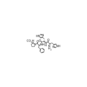 N[C@@H](Cc1c[nH]cn1)C(=O)N[C@@H](Cc1c[nH]cn1)C(=O)N[C@@H](Cc1ccccc1)C(=O)N1CCC[C@H]1C(=O)O